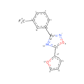 FC(F)(F)c1cccc(-c2noc(-c3ccco3)n2)c1